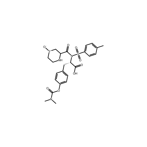 Cc1ccc(S(=O)(=O)N(C(=O)C2C[S+]([O-])CCN2)[C@@H](Cc2ccc(OC(=O)N(C)C)cc2)C(=O)O)cc1